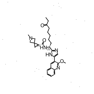 CCC(=O)CCCCC[C@H](NC(=O)[C@@H]1CC12CN(C)C2)c1ncc(-c2cc3ccccc3nc2OC)[nH]1